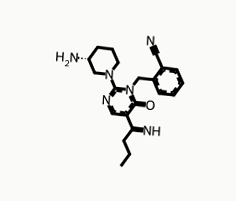 CCCC(=N)c1cnc(N2CCC[C@@H](N)C2)n(Cc2ccccc2C#N)c1=O